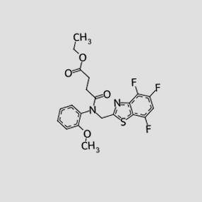 CCOC(=O)CCC(=O)N(Cc1nc2c(F)c(F)cc(F)c2s1)c1ccccc1OC